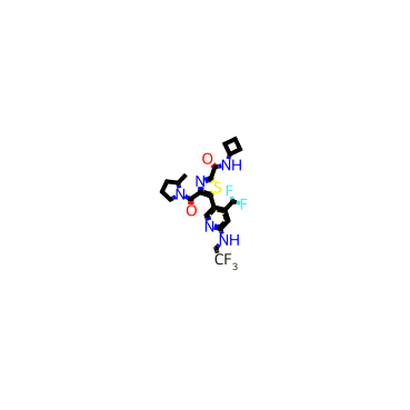 CC1CCCN1C(=O)c1nc(C(=O)NC2CCC2)sc1-c1cnc(NCC(F)(F)F)cc1C(F)F